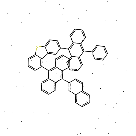 c1ccc(-c2c3ccccc3c(-c3ccc4sc5cccc(-c6c7ccccc7c(-c7ccc8ccccc8c7)c7ccccc67)c5c4c3)c3ccccc23)cc1